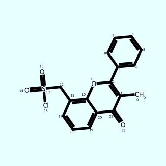 Cc1c(-c2ccccc2)oc2c(CS(=O)(=O)Cl)cccc2c1=O